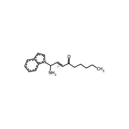 CCCCCC(=O)/C=C/C(N)n1ccc2ccccc21